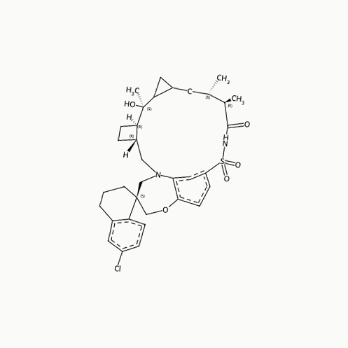 C[C@H]1CC2CC2[C@](C)(O)[C@@H]2CC[C@H]2CN2C[C@@]3(CCCc4cc(Cl)ccc43)COc3ccc(cc32)S(=O)(=O)NC(=O)[C@@H]1C